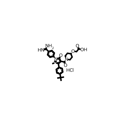 Cl.Cn1c(-c2ccc(C(C)(C)C)cc2)c(C(=O)N2CCC(OCC(=O)O)CC2)c(=O)n1-c1ccc(C(=N)N)cc1